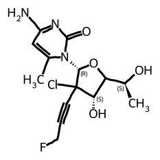 Cc1cc(N)nc(=O)n1[C@@H]1OC([C@H](C)O)[C@H](O)C1(Cl)C#CCF